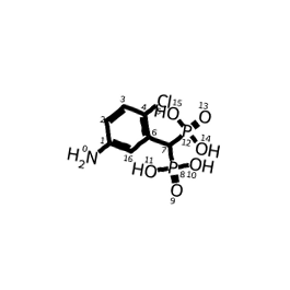 Nc1ccc(Cl)c(C(P(=O)(O)O)P(=O)(O)O)c1